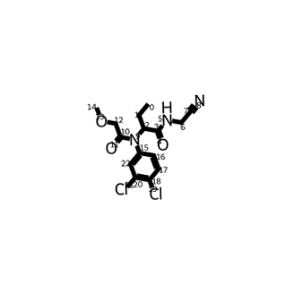 CCC(C(=O)NCC#N)N(C(=O)COC)c1ccc(Cl)c(Cl)c1